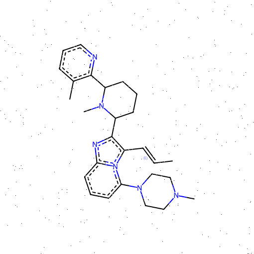 C/C=C/c1c(C2CCCC(c3ncccc3C)N2C)nc2cccc(N3CCN(C)CC3)n12